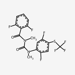 CN(C(=O)c1c(F)cccc1F)C(=O)N(C)c1cc(F)c(SC(F)(F)F)cc1F